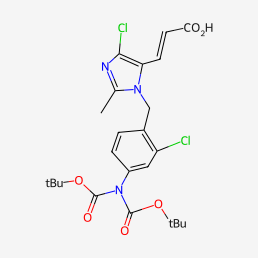 Cc1nc(Cl)c(C=CC(=O)O)n1Cc1ccc(N(C(=O)OC(C)(C)C)C(=O)OC(C)(C)C)cc1Cl